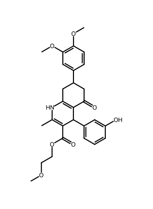 COCCOC(=O)C1=C(C)NC2=C(C(=O)CC(c3ccc(OC)c(OC)c3)C2)C1c1cccc(O)c1